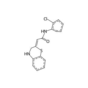 O=C(C=C1CNc2ccccc2S1)Nc1ccccc1Cl